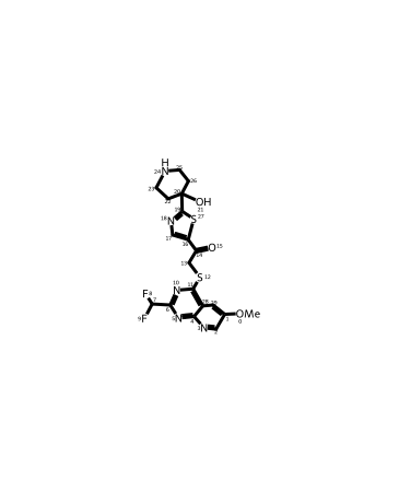 COc1cnc2nc(C(F)F)nc(SCC(=O)c3cnc(C4(O)CCNCC4)s3)c2c1